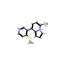 CC(C)(C)Sc1ccncc1-c1ccc(C#N)n2cccc12